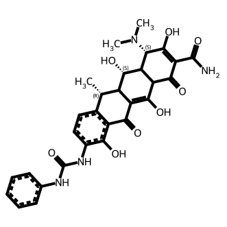 C[C@H]1c2ccc(NC(=O)Nc3ccccc3)c(O)c2C(=O)C2=C(O)C3C(=O)C(C(N)=O)=C(O)[C@@H](N(C)C)C3[C@@H](O)C21